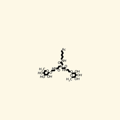 CC(=O)CCCCCNC(=O)CN(CC(=O)NCCO[C@H]1O[C@@H](C)[C@@H](O)[C@@H](O)[C@@H]1O)CC(=O)NCCO[C@H]1O[C@@H](C)[C@@H](O)[C@@H](O)[C@@H]1O